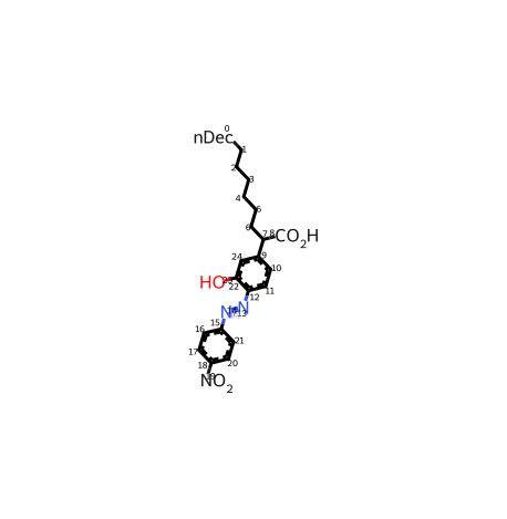 CCCCCCCCCCCCCCCCC(C(=O)O)c1ccc(/N=N/c2ccc([N+](=O)[O-])cc2)c(O)c1